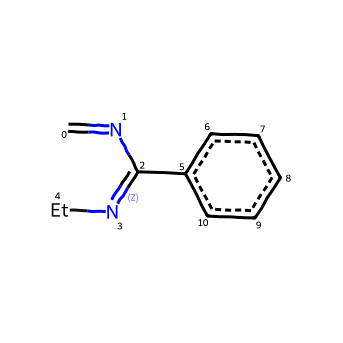 C=N/C(=N\CC)c1ccccc1